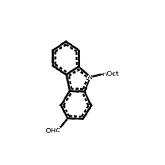 CCCCCCCCn1c2ccccc2c2cc(C=O)ccc21